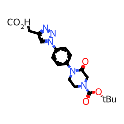 CC(C)(C)OC(=O)N1CCN(c2ccc(-n3cc(CC(=O)O)nn3)cc2)C(=O)C1